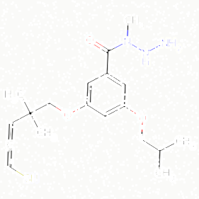 CC(C)COc1cc(OCC(C)(C)C=C=CS)cc(C(=O)N(C)NN)c1